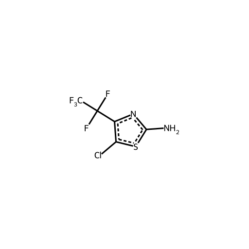 Nc1nc(C(F)(F)C(F)(F)F)c(Cl)s1